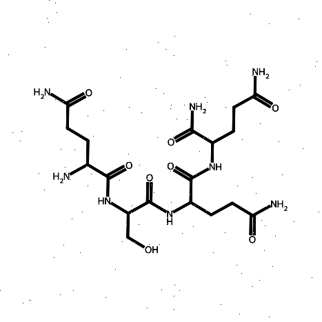 NC(=O)CCC(N)C(=O)NC(CO)C(=O)NC(CCC(N)=O)C(=O)NC(CCC(N)=O)C(N)=O